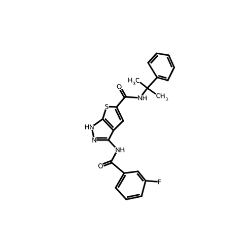 CC(C)(NC(=O)c1cc2c(NC(=O)c3cccc(F)c3)n[nH]c2s1)c1ccccc1